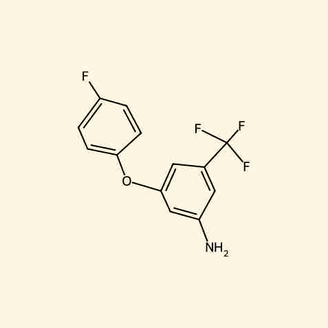 Nc1cc(Oc2ccc(F)cc2)cc(C(F)(F)F)c1